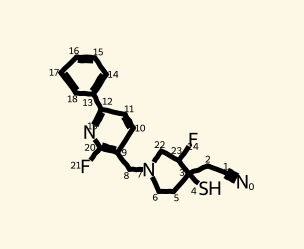 N#CCC1(S)CCN(Cc2ccc(-c3ccccc3)nc2F)CC1F